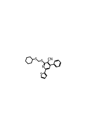 N#Cc1c(-c2ccccc2)cc(-c2cccs2)nc1SCSC1CCCCC1